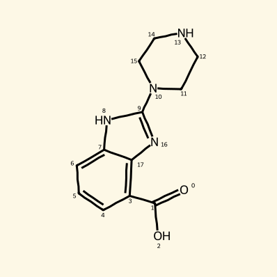 O=C(O)c1cccc2[nH]c(N3CCNCC3)nc12